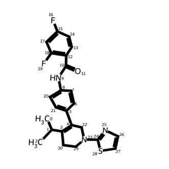 CC(C)C1=C(c2ccc(NC(=O)c3ccc(F)cc3F)cc2)CN(c2nccs2)CC1